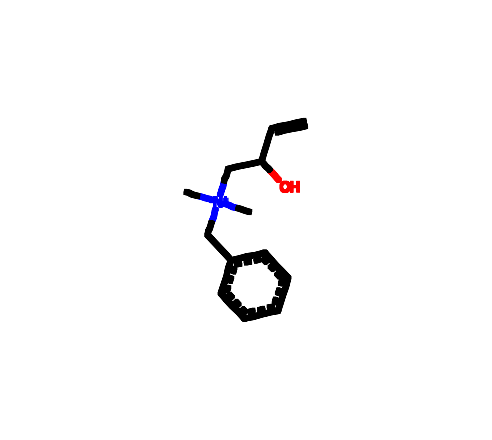 C=CC(O)C[N+](C)(C)Cc1ccccc1